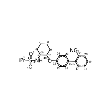 CC(C)S(=O)(=O)N[C@H]1CCCC[C@H]1Oc1ccc(-c2ccccc2C#N)cc1